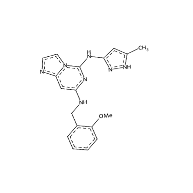 COc1ccccc1CNc1cc2nccn2c(Nc2cc(C)[nH]n2)n1